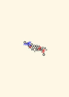 CC1C(C(=O)OCc2ccccc2)CC1C(=O)OC1CCC2(C)C(CCC3(C)C4CCC5(C(=O)NC6(c7ncc(-c8ccccc8)[nH]7)CC6)CCCC5C4CCC32)C1(C)C